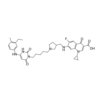 CCc1cc(Nc2cc(=O)n(CCCCCN3CCC(CNc4cc5c(cc4F)c(=O)c(C(=O)O)cn5C4CC4)C3)c(=O)[nH]2)ccc1C